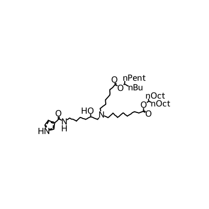 CCCCCCCCC(CCCCCCCC)OC(=O)CCCCCCCN(CCCCCC(=O)OC(CCCC)CCCCC)CC(O)CCCCNC(=O)c1cc[nH]c1